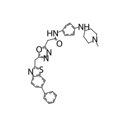 CN1CCC(Nc2ccc(NC(=O)Cc3nnc(Cc4nc5ccc(-c6ccccc6)cc5s4)o3)cc2)CC1